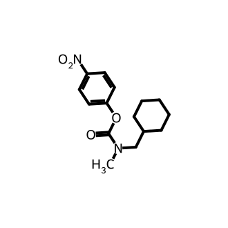 CN(CC1CCCCC1)C(=O)Oc1ccc([N+](=O)[O-])cc1